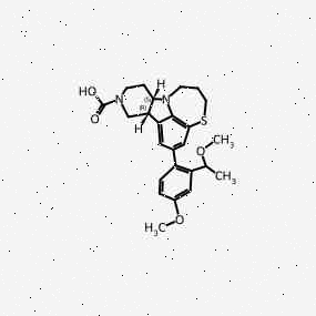 COc1ccc(-c2cc3c4c(c2)[C@@H]2CN(C(=O)O)CC[C@@H]2N4CCCS3)c(C(C)OC)c1